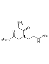 BCC(=O)N(CCNCCCC)CC(=O)CCCCC